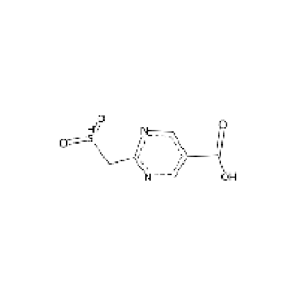 O=C(O)c1cnc(C[SH](=O)=O)nc1